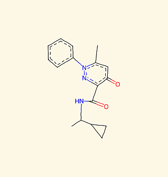 Cc1cc(=O)c(C(=O)NC(C)C2CC2)nn1-c1ccccc1